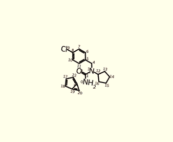 NC(=O)N(Cc1ccc(Cl)cc1)C1CCCC1.c1cc2cc-2c1